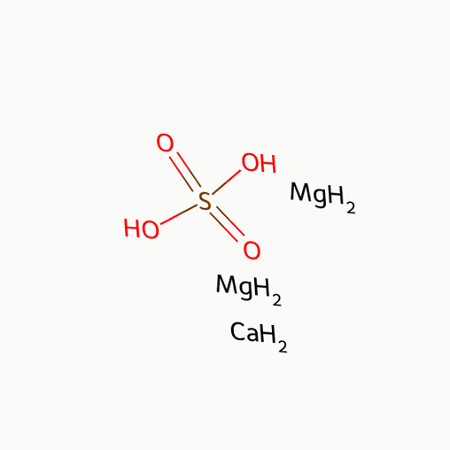 O=S(=O)(O)O.[CaH2].[MgH2].[MgH2]